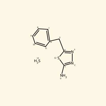 Nc1nnc(Cc2ccccc2)s1.S